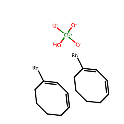 [O-][Cl+3]([O-])([O-])O.[Rh]/[C]1=C/C=C\CCCC1.[Rh]/[C]1=C/C=C\CCCC1